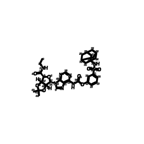 CCNC(=O)[C@H]1O[C@@H](n2cnc3c(NC(=O)Oc4cccc(S(=O)(=O)NC56CC7CC(CC(C7)C5)C6)c4)ncnc32)[C@@H]2OC(C)(C)O[C@@H]21